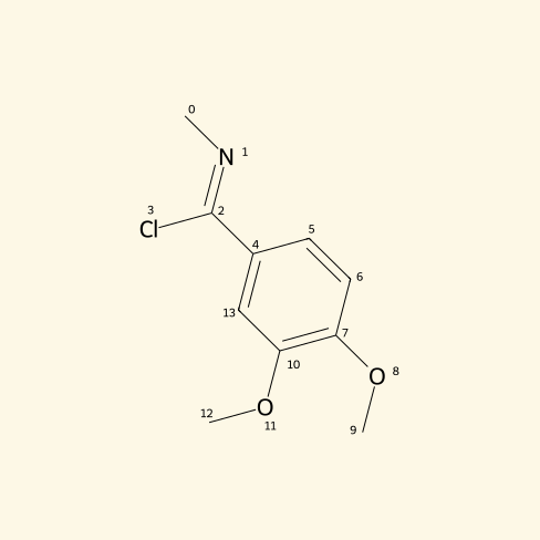 CN=C(Cl)c1ccc(OC)c(OC)c1